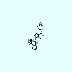 Cc1c(C(=O)N2CCN(C)CC2)cnn1-c1nn2cccc2c(=O)[nH]1